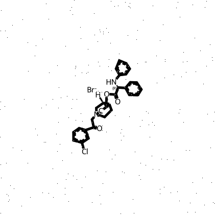 O=C(C[N+]12CCC(CC1)[C@@H](OC(=O)[C@H](Nc1ccccc1)c1ccccc1)C2)c1cccc(Cl)c1.[Br-]